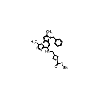 Cc1cc2c(cc(NCC3CN(C(=O)OC(C)(C)C)C3)c3nnc(C)n32)n1Cc1ccccc1